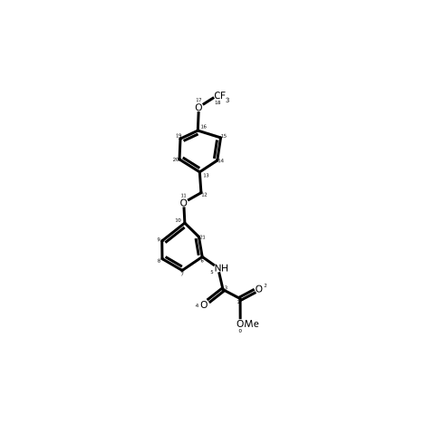 COC(=O)C(=O)Nc1cccc(OCc2ccc(OC(F)(F)F)cc2)c1